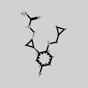 NC(=O)OC[C@H]1C[C@@H]1c1cc(Br)ccc1OCC1CC1